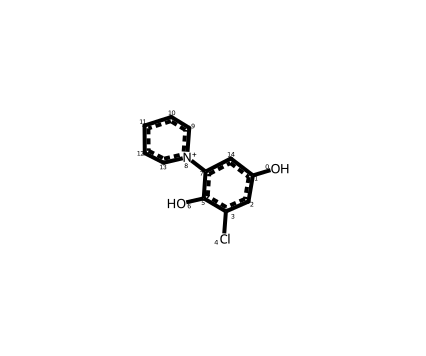 Oc1cc(Cl)c(O)c(-[n+]2ccccc2)c1